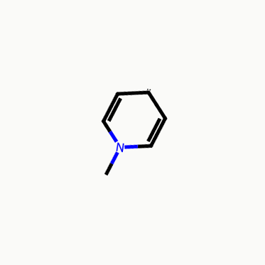 CN1C=C[C]C=C1